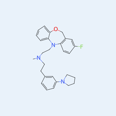 CN(CCc1cccc(N2CCCC2)c1)CCN1c2ccc(F)cc2COc2ccccc21